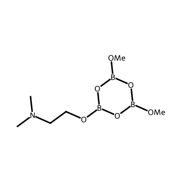 COB1OB(OC)OB(OCCN(C)C)O1